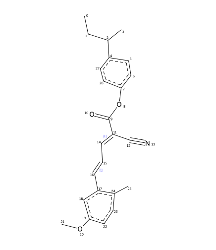 CCC(C)c1ccc(OC(=O)/C(C#N)=C/C=C/c2cc(OC)ccc2C)cc1